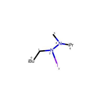 CCC(C)CN(I)N(C)C(C)C